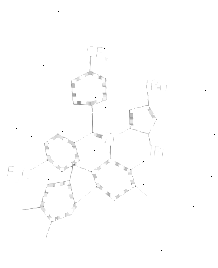 Cc1cc2c(cc1C)-c1cc(C)c(C)[c]([Zr]([C]3=CC(C(C)(C)C)=CC3C(C)C)=[C](c3ccc(C(F)(F)F)cc3)c3ccc(C(F)(F)F)cc3)c1C2